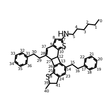 CCCCCCNc1cc2c(s1)C1c3c(CCc4ccccc4)cc4c(c3C1C(CCc1ccccc1)=C2)SC(C)C4